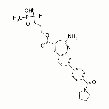 CP(=O)(O)C(F)(F)CCCOC(=O)C1=Cc2ccc(-c3ccc(C(=O)N4CCCC4)cc3)cc2N=C(N)C1